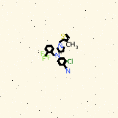 Cc1ccsc1CN1CC[C@H](N(Cc2ccccc2C(F)(F)F)c2ccc(C#N)c(Cl)c2)C1